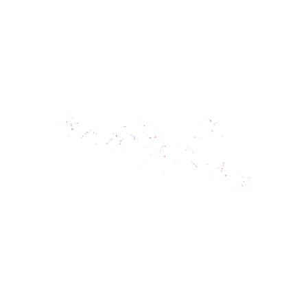 CC(C)[C@H](NC(=O)[C@]1(C)CSC(c2csc(CNC(=O)OC(C)(C)C)n2)=N1)C(=O)OC(CC=CCCC(=O)OCC(Cl)(Cl)Cl)CC(=O)OCC[Si](C)(C)C